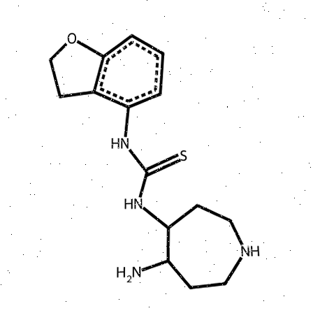 NC1CCNCCC1NC(=S)Nc1cccc2c1CCO2